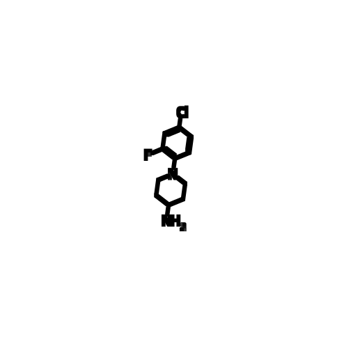 NC1CCN(c2ccc(Cl)cc2F)CC1